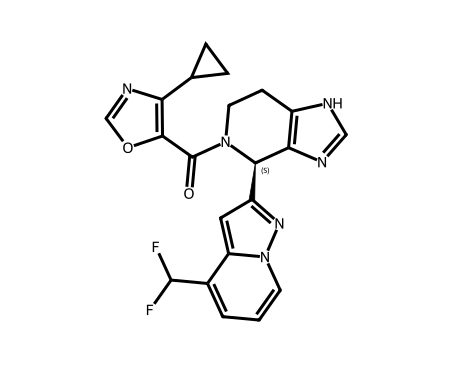 O=C(c1ocnc1C1CC1)N1CCc2[nH]cnc2[C@H]1c1cc2c(C(F)F)cccn2n1